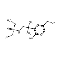 COP(=O)(NCC(C)(C)c1cc(CO)ccc1O)OC